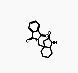 O=C1CC2(CN3C(=O)c4ccccc4C3=O)CCCCC2N1